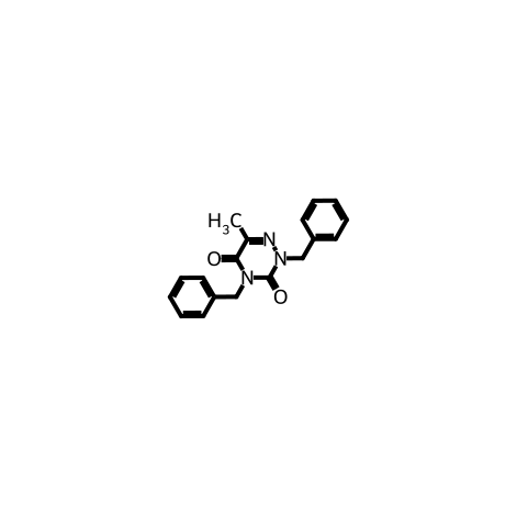 Cc1nn(Cc2ccccc2)c(=O)n(Cc2ccccc2)c1=O